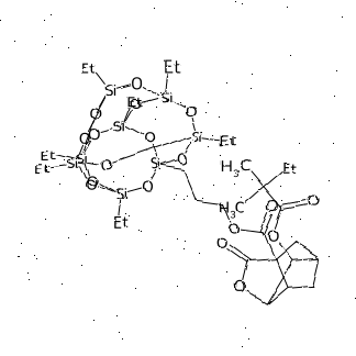 CCC(C)(C)C(=O)OC1C2CC3C1OC(=O)C3(C(=O)OCCC[Si]13O[Si]4(CC)O[Si]5(CC)O[Si]6(CC)O[Si](CC)(O4)O[Si](CC)(O[Si](CC)(O6)O[Si](CC)(O5)O1)O3)C2